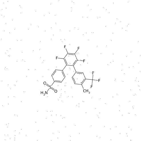 Cc1ccc(-c2c(F)c(F)c(F)c(F)c2-c2ccc(S(N)(=O)=O)cc2)cc1C(F)(F)F